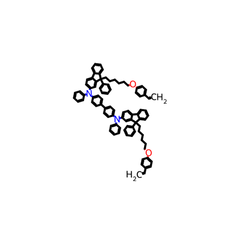 C=Cc1ccc(OCCCCCCC2(c3ccccc3)c3ccccc3-c3ccc(N(c4ccccc4)c4ccc(-c5ccc(N(c6ccccc6)c6ccc7c(c6)C(CCCCCCOc6ccc(C=C)cc6)(c6ccccc6)c6ccccc6-7)cc5)cc4)cc32)cc1